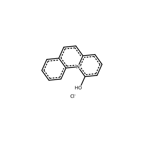 Oc1cccc2ccc3ccccc3[n+]12.[Cl-]